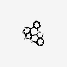 Clc1cccc(Cl)c1C1Nc2ccccc2-c2cnnc3[nH]cc1c23